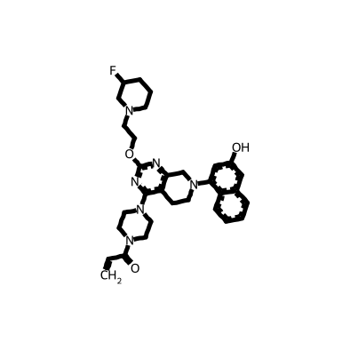 C=CC(=O)N1CCN(c2nc(OCCN3CCCC(F)C3)nc3c2CCN(c2cc(O)cc4ccccc24)C3)CC1